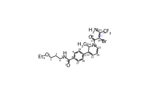 CCOCCCNC(=O)c1ccc(C2=CC=CN(C(=O)/C(Br)=C(\N)C(F)(F)F)C2C)cc1